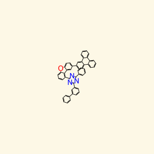 c1ccc(-c2cccc(-c3nc(-c4ccccc4)nc(-c4cccc5oc6ccc(-c7ccc8c9ccccc9c9ccccc9c8c7)cc6c45)n3)c2)cc1